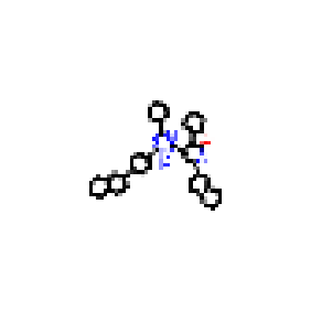 c1ccc(C2=NC(c3ccc(-c4ccc5ccccc5c4)cc3)NC(c3cc(-c4ccc5ccccc5c4)nc4oc5ccccc5c34)=N2)cc1